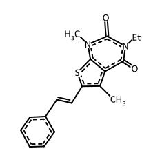 CCn1c(=O)c2c(C)c(C=Cc3ccccc3)sc2n(C)c1=O